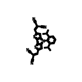 CC(C)c1cccc(C(C)C)c1-n1c2cc(C=C(C#N)C#N)sc2c2sc(C=C(C#N)C#N)cc21